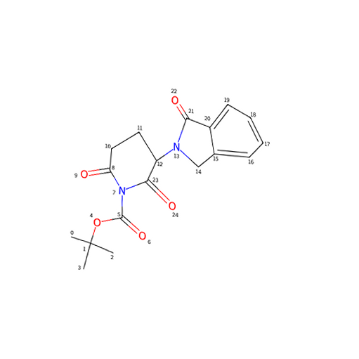 CC(C)(C)OC(=O)N1C(=O)CCC(N2Cc3ccccc3C2=O)C1=O